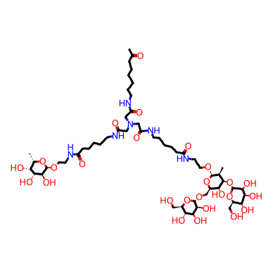 CC(=O)CCCCCCNC(=O)CN(CC(=O)NCCCCCC(=O)NCCO[C@H]1O[C@H](CO[C@H]2O[C@H](CO)[C@@H](O)[C@H](O)[C@@H]2O)[C@@H](O)[C@H](O[C@H]2O[C@H](CO)[C@@H](O)[C@H](O)[C@@H]2O)[C@@H]1C)CC(=O)NCCCCCC(=O)NCCO[C@@H]1O[C@@H](C)[C@@H](O)[C@@H](O)[C@@H]1O